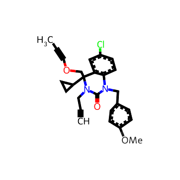 C#CCN1C(=O)N(Cc2ccc(OC)cc2)c2ccc(Cl)cc2C1(COC#CC)C1CC1